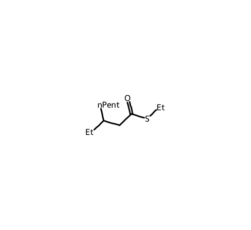 [CH2]CSC(=O)CC(CC)CCCCC